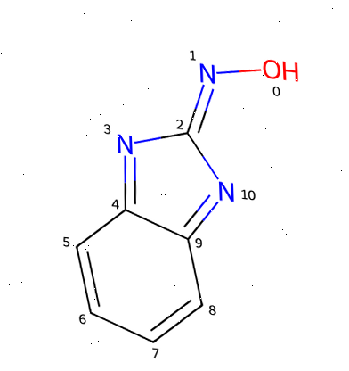 ON=C1N=c2ccccc2=N1